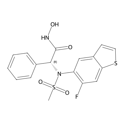 CS(=O)(=O)N(c1cc2ccsc2cc1F)[C@@H](C(=O)NO)c1ccccc1